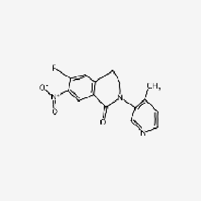 Cc1ccncc1N1CCc2cc(F)c([N+](=O)[O-])cc2C1=O